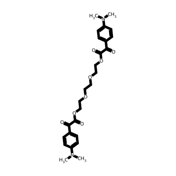 CN(C)c1ccc(C(=O)C(=O)OCCOCCOCCOC(=O)C(=O)c2ccc(N(C)C)cc2)cc1